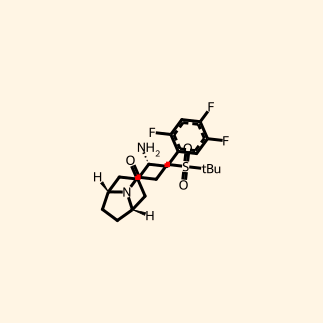 CC(C)(C)S(=O)(=O)CCC(=O)N1[C@@H]2CC[C@H]1CC([C@H](N)Cc1cc(F)c(F)cc1F)C2